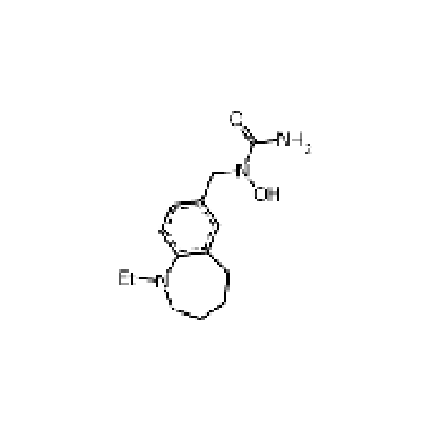 CCN1CCCCc2cc(CN(O)C(N)=O)ccc21